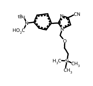 CC(C)(C)N(C(=O)O)c1ccc(-c2nc(C#N)cn2COCC[Si](C)(C)C)cc1